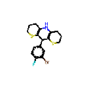 Fc1ccc(C2C3=C(CCCS3)NC3=C2SCCC3)cc1Br